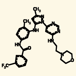 Cc1cc(Nc2cc(NC(=O)c3cccc(C(F)(F)F)c3)ccc2C)n(-c2cc(NCCN3CCOCC3)ncn2)n1